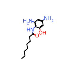 CCCCCCCC(=O)Nc1c(N)cc(N)cc1O